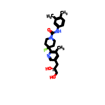 Cc1ccc(NC(=O)N2CCC(F)(c3ncc(C[C@@H](O)CO)cc3C)CC2)cc1C